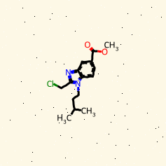 COC(=O)c1ccc2c(c1)nc(CCl)n2CCC(C)C